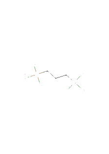 Br[Si](Br)(Br)CCCS(Br)(Br)Br